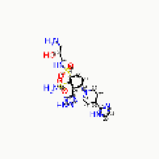 NC[C@@H](O)CNS(=O)(=O)c1ccc(N2CCC(c3ncc[nH]3)CC2)c(-c2nn[nH]n2)c1S(N)(=O)=O